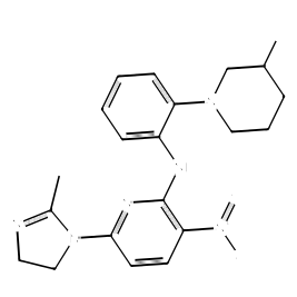 CC1=NCCN1c1ccc([N+](=O)[O-])c(Nc2ccccc2N2CCCC(F)C2)n1